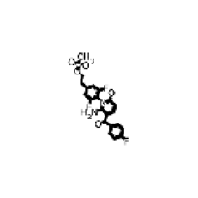 CS(=O)(=O)OCCc1cc(F)c(-n2c(N)c(C(=O)c3ccc(F)cc3)ccc2=O)c(F)c1